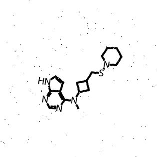 CN(c1ncnc2[nH]ccc12)C1CC(CSN2CCCCC2)C1